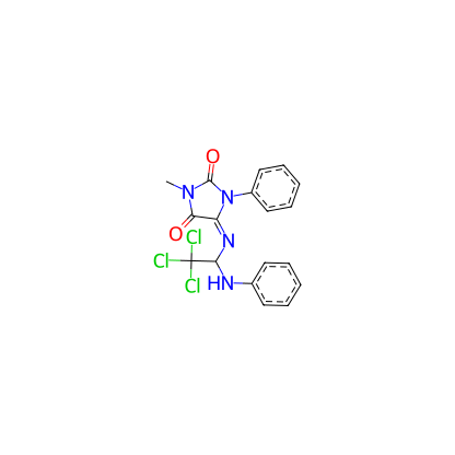 CN1C(=O)C(=NC(Nc2ccccc2)C(Cl)(Cl)Cl)N(c2ccccc2)C1=O